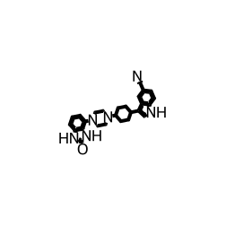 N#Cc1ccc2[nH]cc(C3CCC(N4CCN(c5cccc6[nH]c(=O)[nH]c56)CC4)CC3)c2c1